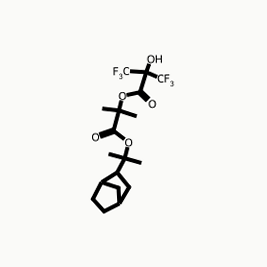 CC(C)(OC(=O)C(O)(C(F)(F)F)C(F)(F)F)C(=O)OC(C)(C)C1CC2CCC1C2